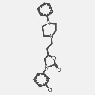 O=C1OC(CCN2CCN(c3ccccc3)CC2)CN1c1cccc(Cl)c1